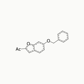 CC(=O)c1cc2ccc(OCc3ccccc3)cc2o1